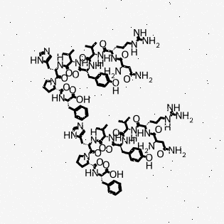 CC(C)[C@H](NC(=O)[C@H](CCCNC(=N)N)NC(=O)[C@@H](N)CC(N)=O)C(=O)N[C@@H](Cc1ccc(O)cc1)C(=O)N[C@H](C(=O)N[C@@H](Cc1cnc[nH]1)C(=O)N1CCC[C@H]1C(=O)N[C@@H](Cc1ccccc1)C(=O)O)C(C)C.CC(C)[C@H](NC(=O)[C@H](CCCNC(=N)N)NC(=O)[C@@H](N)CC(N)=O)C(=O)N[C@@H](Cc1ccc(O)cc1)C(=O)N[C@H](C(=O)N[C@@H](Cc1cnc[nH]1)C(=O)N1CCC[C@H]1C(=O)N[C@@H](Cc1ccccc1)C(=O)O)C(C)C